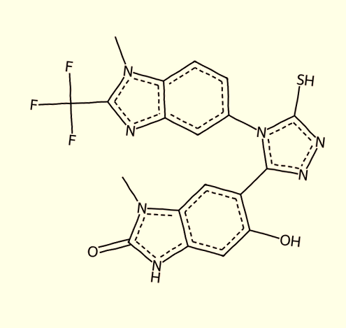 Cn1c(C(F)(F)F)nc2cc(-n3c(S)nnc3-c3cc4c(cc3O)[nH]c(=O)n4C)ccc21